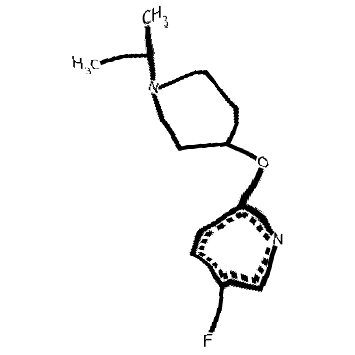 CC(C)N1CCC(Oc2ccc(F)cn2)CC1